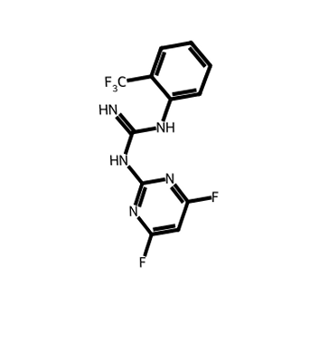 N=C(Nc1nc(F)cc(F)n1)Nc1ccccc1C(F)(F)F